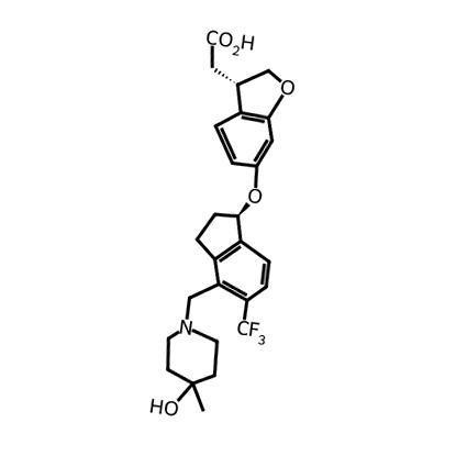 CC1(O)CCN(Cc2c(C(F)(F)F)ccc3c2CC[C@H]3Oc2ccc3c(c2)OC[C@H]3CC(=O)O)CC1